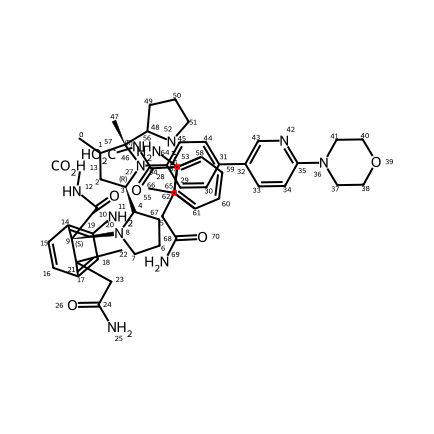 CC1C[C@H](C2CCCN2[C@]2(C(=O)NC(=O)O)c3ccc(cc3N)C2(C)CC(N)=O)N(c2ccc(-c3ccc(N4CCOCC4)nc3)cc2)[C@@]1(C)C1CCCN1[C@]1(C(=O)NC(=O)O)c2ccc(cc2N)C1(C)CC(N)=O